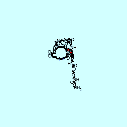 COc1cc2cc(c1Cl)N(C)C(=O)C[C@@H](OC(=O)[C@@H](C)N(C)C(=O)CCSC1CC(=O)N(CCNC(=O)COCCOCCNC(=O)COCCOCCNC(=O)CON)C1=O)[C@@]1(C)O[C@@H]1C(C)[C@H]1C[C@](O)(NC(=O)O1)[C@@H](OC)/C=C/C=C(\C)C2